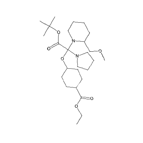 CCOC(=O)C1CCC(OC(C(=O)OC(C)(C)C)(N2CCCC2)N2CCCCC2COC)CC1